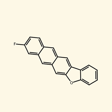 Fc1ccc2cc3cc4c(cc3cc2c1)oc1ccccc14